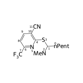 CCCCCC(NC)Sc1nc(C(F)(F)F)ccc1C#N